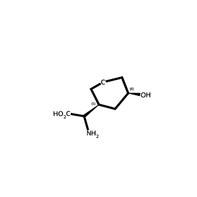 NC(C(=O)O)[C@H]1CCC[C@@H](O)C1